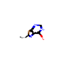 CSc1nc2c(=O)[nH]cnc2s1